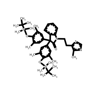 Cc1cc(C2(c3cc(C)c(O[Si](C)(C)C(C)(C)C)c(C)c3)C(=O)N(CCc3scnc3C)c3ccccc32)cc(C)c1O[Si](C)(C)C(C)(C)C